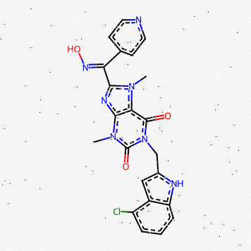 Cn1c(C(=NO)c2ccncc2)nc2c1c(=O)n(Cc1cc3c(Cl)cccc3[nH]1)c(=O)n2C